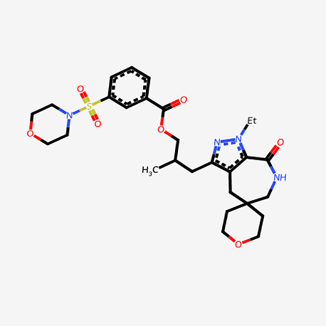 CCn1nc(CC(C)COC(=O)c2cccc(S(=O)(=O)N3CCOCC3)c2)c2c1C(=O)NCC1(CCOCC1)C2